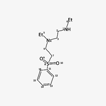 CCNCCN(CC)CCS(=O)(=O)c1ccccc1